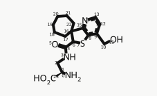 N[C@H](CNC(=O)C1Sc2c(CO)ccnc2C12CCCCCC2)C(=O)O